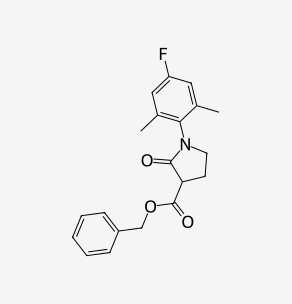 Cc1cc(F)cc(C)c1N1CCC(C(=O)OCc2ccccc2)C1=O